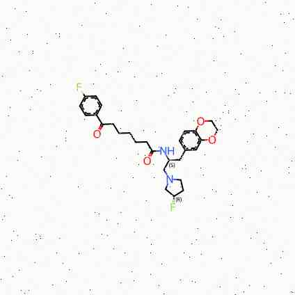 O=C(CCCCCC(=O)c1ccc(F)cc1)N[C@@H](Cc1ccc2c(c1)OCCO2)CN1CC[C@@H](F)C1